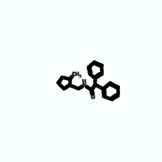 CC1CCCC1CNC(=O)C(c1ccccc1)c1ccccc1